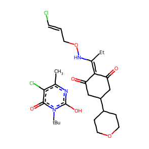 CCC(NOCC=CCl)=C1C(=O)CC(C2CCOCC2)CC1=O.Cc1nc(O)n(C(C)(C)C)c(=O)c1Cl